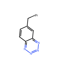 CC(C)Cc1ccc2nnnnc2c1